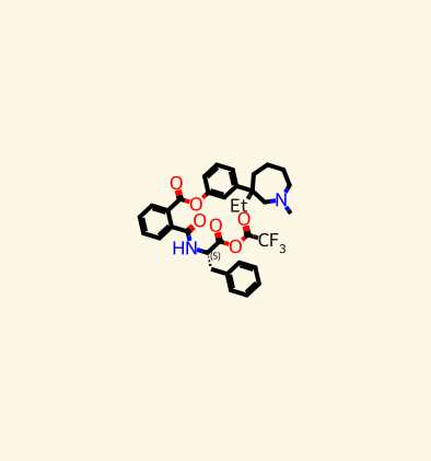 CCC1(c2cccc(OC(=O)c3ccccc3C(=O)N[C@@H](Cc3ccccc3)C(=O)OC(=O)C(F)(F)F)c2)CCCCN(C)C1